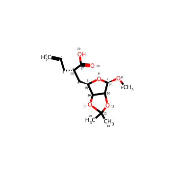 C=CC[C@@H](C[C@H]1O[C@@H](OC)C2OC(C)(C)OC21)C(=O)O